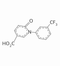 O=C(O)c1ccc(=O)n(-c2cccc(C(F)(F)F)c2)c1